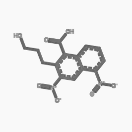 O=C(O)c1c(CCCO)c([N+](=O)[O-])cc2c([N+](=O)[O-])cccc12